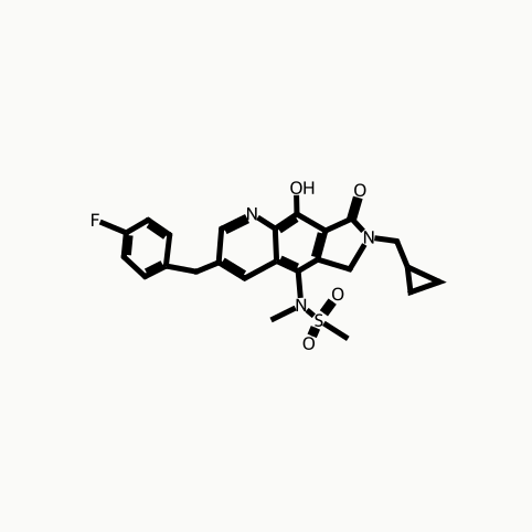 CN(c1c2c(c(O)c3ncc(Cc4ccc(F)cc4)cc13)C(=O)N(CC1CC1)C2)S(C)(=O)=O